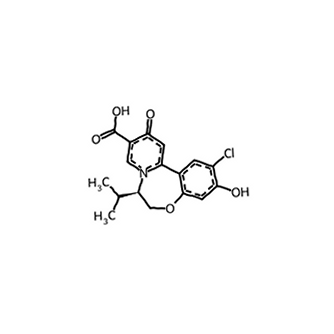 CC(C)[C@@H]1COc2cc(O)c(Cl)cc2-c2cc(=O)c(C(=O)O)cn21